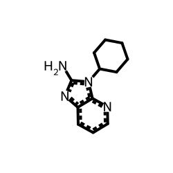 Nc1nc2cccnc2n1C1CCCCC1